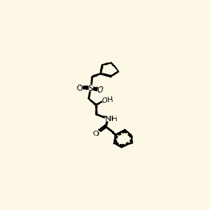 O=C(NCC(O)CS(=O)(=O)CC1CCCC1)c1ccccc1